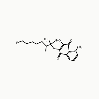 Cc1cccc2c1C(=O)C(O)=C(CC(C)(F)C(F)CCCCCF)C2=O